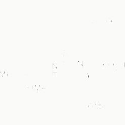 CCOC(=O)[C@H]1C(c2ccc3c(c2)OCO3)CN(CC(=O)NCc2ccc(OC)c(OC)c2)[C@@H]1c1ccc(OC)cc1